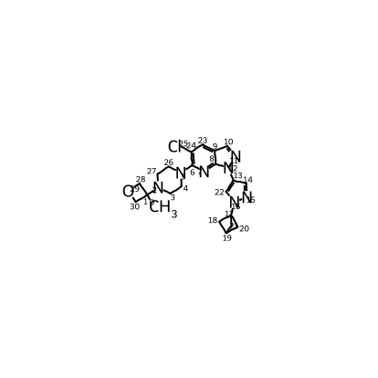 CC1(N2CCN(c3nc4c(cnn4-c4cnn(C56CC(C5)C6)c4)cc3Cl)CC2)COC1